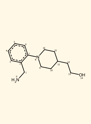 NCc1ccccc1N1CCC(CCO)CC1